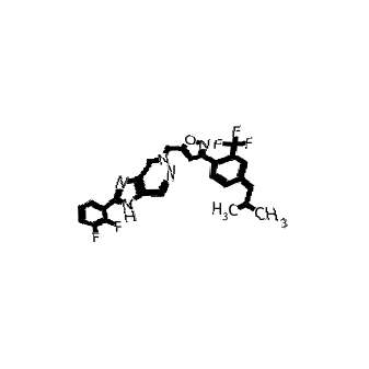 CC(C)Cc1ccc(-c2cc(CN3Cc4nc(-c5cccc(F)c5F)[nH]c4C=N3)on2)c(C(F)(F)F)c1